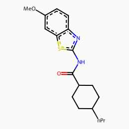 CCCC1CCC(C(=O)Nc2nc3ccc(OC)cc3s2)CC1